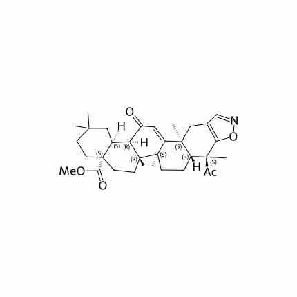 COC(=O)[C@]12CCC(C)(C)C[C@H]1[C@H]1C(=O)C=C3[C@@]4(C)Cc5cnoc5[C@@](C)(C(C)=O)[C@@H]4CC[C@@]3(C)[C@]1(C)CC2